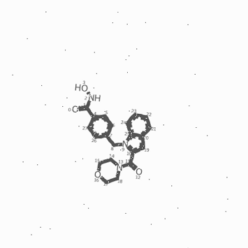 O=C(NO)c1ccc(Cn2c(C(=O)N3CCOCC3)cc3ccccc32)cc1